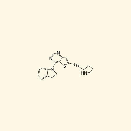 C(#CC1CCCN1)c1cc2ncnc(N3CCc4ccccc43)c2s1